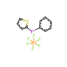 F[P-](F)(F)(F)(F)F.c1ccc([I+]c2cccs2)cc1